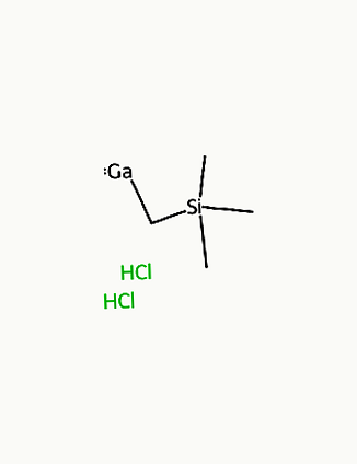 C[Si](C)(C)[CH2][Ga].Cl.Cl